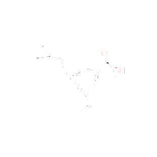 O=Cc1cc(OCC2CC2)cc(C(=O)O)c1